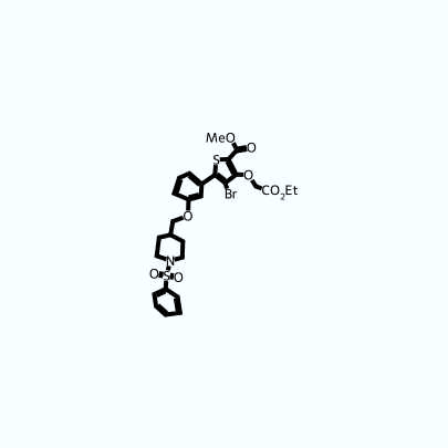 CCOC(=O)COc1c(C(=O)OC)sc(-c2cccc(OCC3CCN(S(=O)(=O)c4ccccc4)CC3)c2)c1Br